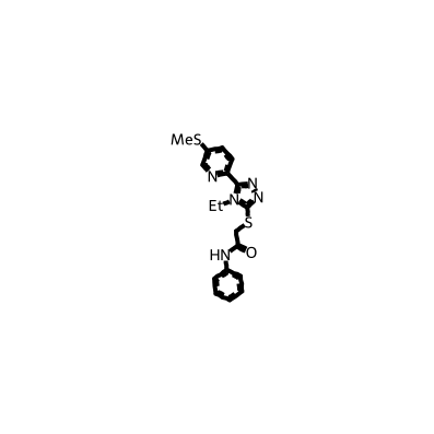 CCn1c(SCC(=O)Nc2ccccc2)nnc1-c1ccc(SC)cn1